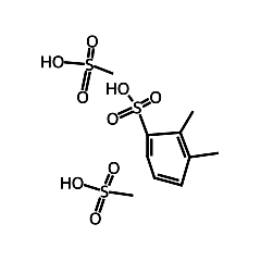 CS(=O)(=O)O.CS(=O)(=O)O.Cc1cccc(S(=O)(=O)O)c1C